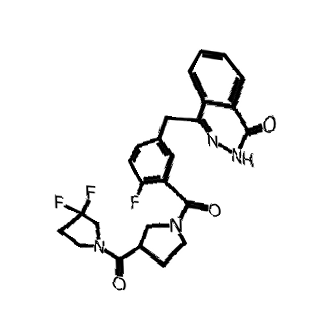 O=C(c1cc(Cc2n[nH]c(=O)c3ccccc23)ccc1F)N1CCC(C(=O)N2CCC(F)(F)C2)C1